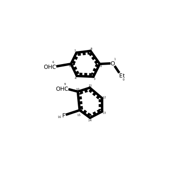 CCOc1ccc(C=O)cc1.O=Cc1ccccc1F